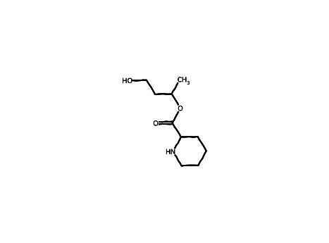 CC(CCO)OC(=O)C1CCCCN1